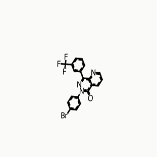 O=c1c2cccnc2c(-c2cccc(C(F)(F)F)c2)nn1-c1ccc(Br)cc1